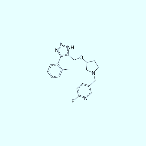 Cc1ccccc1-c1nn[nH]c1COC1CCN(Cc2ccc(F)nc2)C1